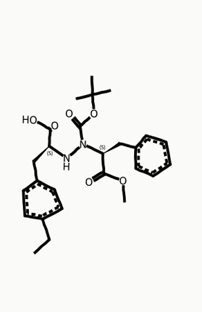 CCc1ccc(C[C@H](NN(C(=O)OC(C)(C)C)[C@@H](Cc2ccccc2)C(=O)OC)C(=O)O)cc1